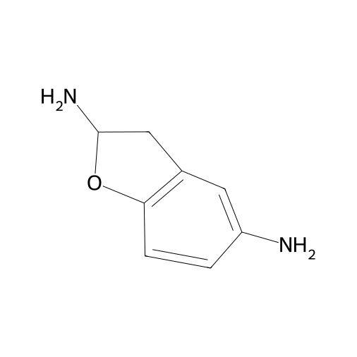 Nc1ccc2c(c1)CC(N)O2